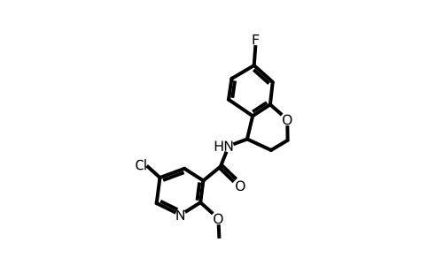 COc1ncc(Cl)cc1C(=O)NC1CCOc2cc(F)ccc21